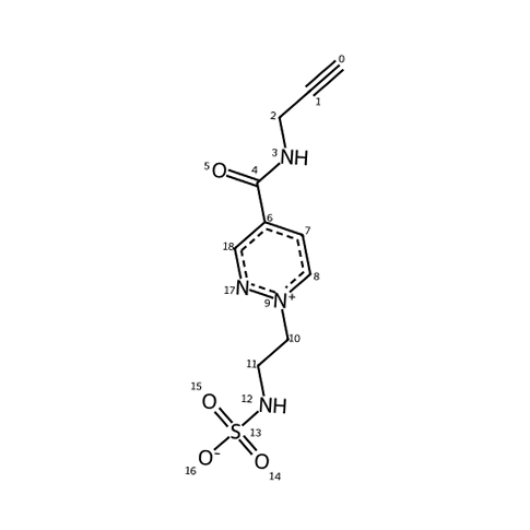 C#CCNC(=O)c1cc[n+](CCNS(=O)(=O)[O-])nc1